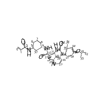 C=CC(=O)NC1CCC[C@H](NC(=O)c2sc3nccc4c3c2NC(=O)N4c2ccc(OC(C)C)cc2C)C1